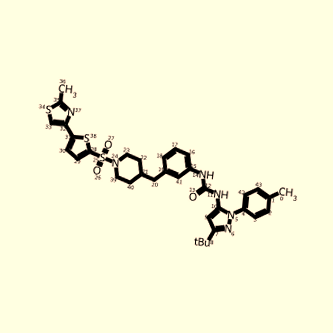 Cc1ccc(-n2nc(C(C)(C)C)cc2NC(=O)Nc2cccc(CC3CCN(S(=O)(=O)c4ccc(-c5csc(C)n5)s4)CC3)c2)cc1